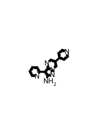 Nc1nn2cc(-c3ccncc3)cnc2c1-c1ccccn1